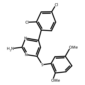 COc1ccc(OC)c(Sc2cc(-c3ccc(Cl)cc3Cl)nc(N)n2)c1